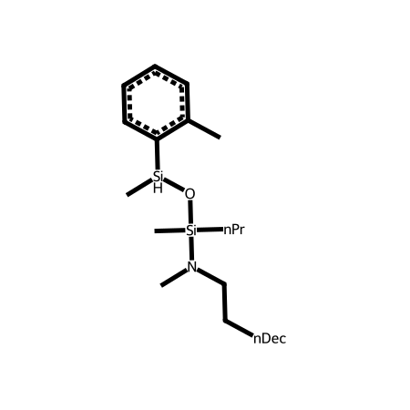 CCCCCCCCCCCCN(C)[Si](C)(CCC)O[SiH](C)c1ccccc1C